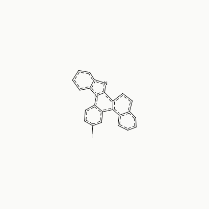 Ic1ccc2c(c1)c1c3ccccc3ccc1c1nc3ccccc3n21